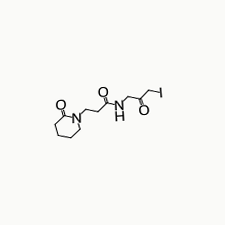 O=C(CI)CNC(=O)CCN1CCCCC1=O